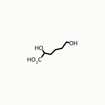 O=C(O)C(O)CCCCO